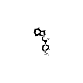 CN1CCN(C(=O)Cn2ccc3ccccc32)CC1